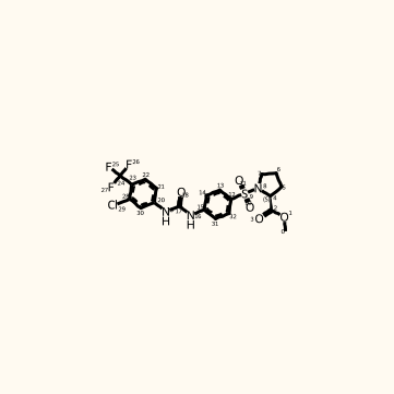 COC(=O)[C@@H]1CCCN1S(=O)(=O)c1ccc(NC(=O)Nc2ccc(C(F)(F)F)c(Cl)c2)cc1